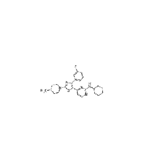 CC1CCN(c2nc(-c3cccc(F)c3)c(-c3ccnc(NC4CCCCC4)n3)s2)CC1